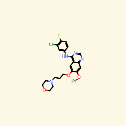 CC(C)Oc1cc2ncnc(Nc3ccc(F)c(Cl)c3)c2cc1OCCCN1CCOCC1